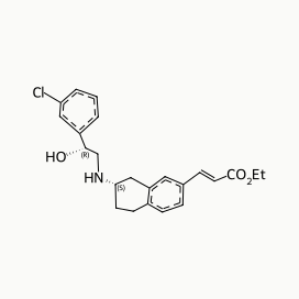 CCOC(=O)C=Cc1ccc2c(c1)C[C@@H](NC[C@H](O)c1cccc(Cl)c1)CC2